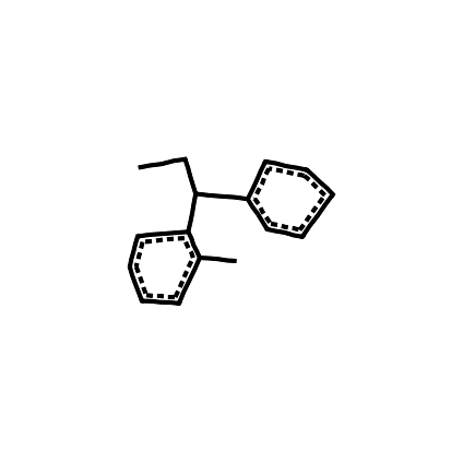 CCC(c1ccccc1)c1ccccc1C